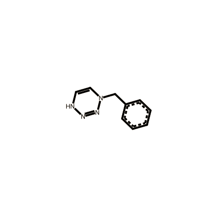 C1=CN(Cc2ccccc2)N=NN1